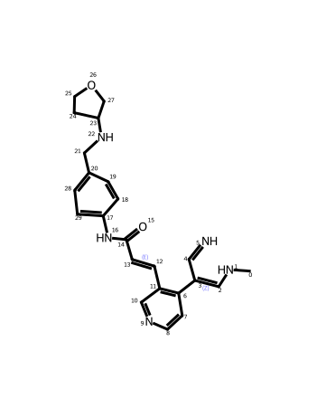 CN/C=C(\C=N)c1ccncc1/C=C/C(=O)Nc1ccc(CNC2CCOC2)cc1